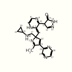 CC1=NC(C=C2NC=CN=C2C2C=NNC2=O)(CNC2CC2)C=C1c1cnccn1